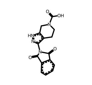 O=C(O)N1CCc2c(N3C(=O)c4ccccc4C3=O)n[nH]c2C1